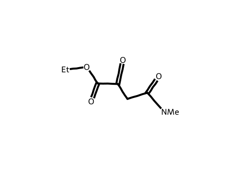 CCOC(=O)C(=O)CC(=O)NC